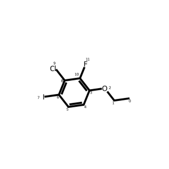 CCOc1ccc(I)c(Cl)c1F